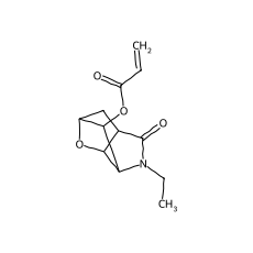 C=CC(=O)OC1C2CC3C(=O)N(CC)C1C3O2